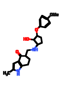 COc1ccc(OC2CCC(NCC3CCc4[nH]c(C)cc4C3=O)C2O)cc1